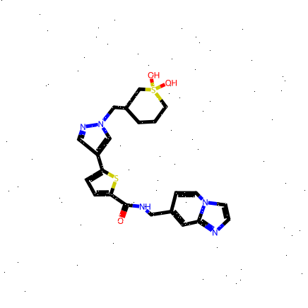 O=C(NCc1ccn2ccnc2c1)c1ccc(-c2cnn(CC3CCCS(O)(O)C3)c2)s1